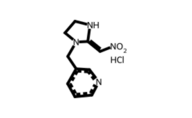 Cl.O=[N+]([O-])/C=C1\NCCN1Cc1cccnc1